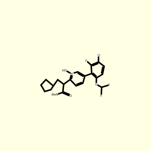 CNC(=O)C(CC1CCCC1)c1ccc(-c2c(OC(F)F)ccc(Cl)c2F)c[n+]1O